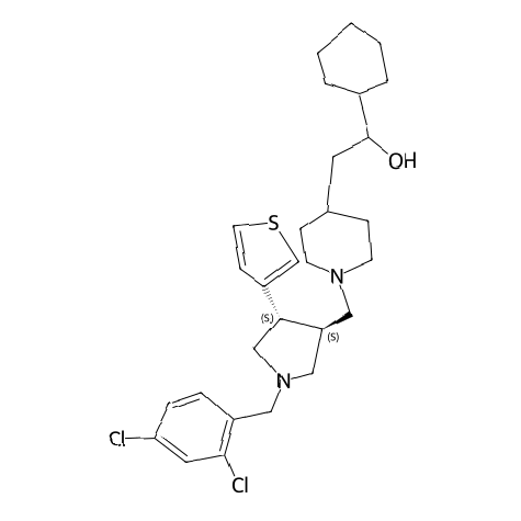 OC(CC1CCN(C[C@H]2CN(Cc3ccc(Cl)cc3Cl)C[C@@H]2c2ccsc2)CC1)C1CCCCC1